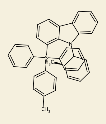 Cc1ccc(S(c2ccccc2)(c2ccccc2)c2cccc3c4ccccc4n(C4C=CC=C[C@H]4C)c23)cc1